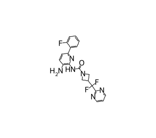 Nc1ccc(-c2ccccc2F)nc1NC(=O)N1CC(C(F)(F)c2ncccn2)C1